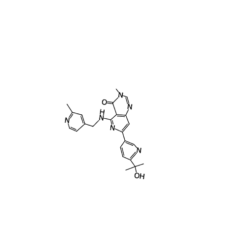 Cc1cc(CNc2nc(-c3ccc(C(C)(C)O)nc3)cc3ncn(C)c(=O)c23)ccn1